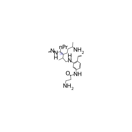 C=Cc1ccc(NC(=O)CCN)cc1NCC(C)/C(CCC(C)N)=C(/CCC)NN=C